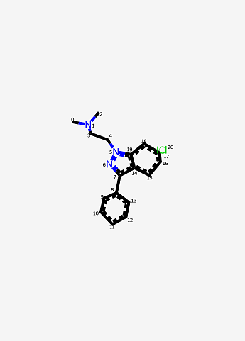 CN(C)CCn1nc(-c2ccccc2)c2ccccc21.Cl